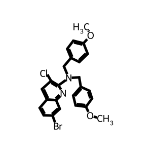 COc1ccc(CN(Cc2ccc(OC)cc2)c2nc3cc(Br)ccc3cc2Cl)cc1